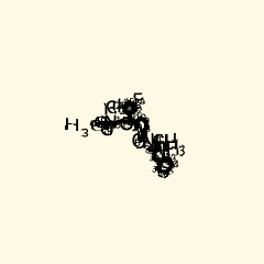 CNC(CNC(=O)N1CCCC(C(OCCNC(=O)OC)c2cc(F)cc(Cl)c2)C1)CC1CCCCOC1